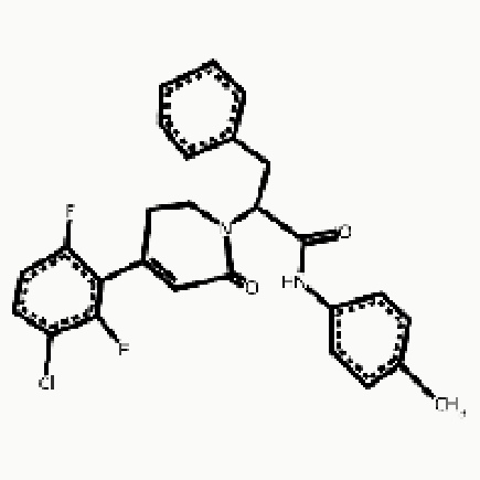 Cc1ccc(NC(=O)C(Cc2ccccc2)N2CCC(c3c(F)ccc(Cl)c3F)=CC2=O)cc1